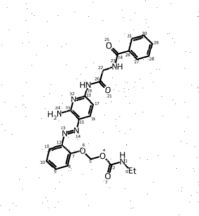 CCNC(=O)OCOc1ccccc1/N=N/c1ccc(NC(=O)CNC(=O)c2ccccc2)nc1N